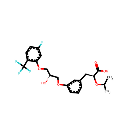 CC(C)O[C@@H](Cc1cccc(OC[C@H](O)COc2cc(F)ccc2C(F)(F)F)c1)C(=O)O